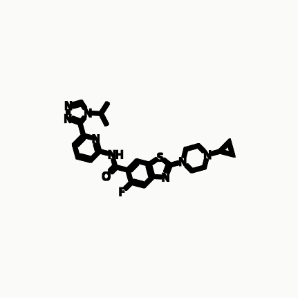 CC(C)n1cnnc1-c1cccc(NC(=O)c2cc3sc(N4CCN(C5CC5)CC4)nc3cc2F)n1